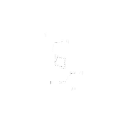 CC(C)CN1CC(C(O)C(C)C)C1